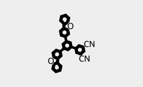 N#Cc1cc(C#N)cc(-c2cc(-c3ccc4c(c3)oc3ccccc34)cc(-c3ccc4oc5ccccc5c4c3)c2)c1